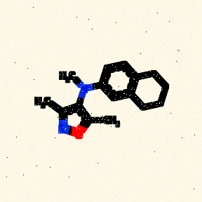 Cc1noc(C)c1N(C)c1ccc2c(c1)CCCC2